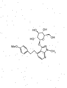 COc1ccc(CCc2ccnc3c2c(O[C@@H]2O[C@H](CO)[C@@H](O)[C@H](O)[C@H]2O)nn3C)cc1